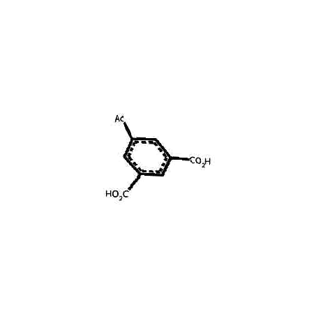 CC(=O)c1cc(C(=O)O)cc(C(=O)O)c1